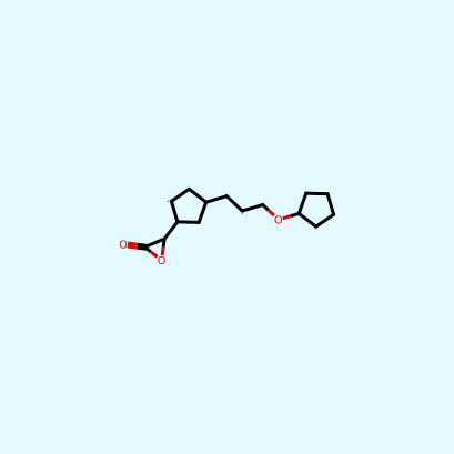 O=C1OC1C1[CH]CC(C[CH]COC2CCCC2)C1